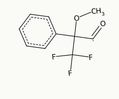 COC([C]=O)(c1ccccc1)C(F)(F)F